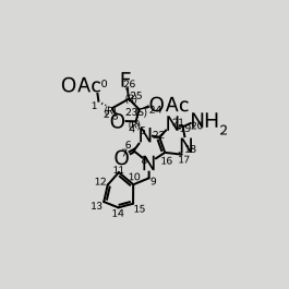 CC(=O)OC[C@H]1O[C@@H](n2c(=O)n(Cc3ccccc3)c3cnc(N)nc32)[C@H](OC(C)=O)[C@@H]1F